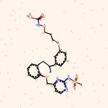 CC(Cc1ccccc1OCc1ccnc(NS(C)(=O)=O)n1)c1cccc(OCCCONC(=O)O)c1